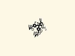 C=C(C)C(=O)Nc1ccc(-c2c(-c3ccc(C(=O)NC(F)C(F)F)c(OC)c3)c3c(N)ncc(C#N)c3n2C)c(F)c1